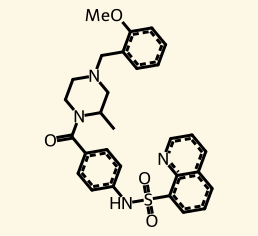 COc1ccccc1CN1CCN(C(=O)c2ccc(NS(=O)(=O)c3cccc4cccnc34)cc2)C(C)C1